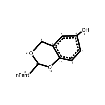 [CH2]CCCCC1OCc2cc(O)ccc2O1